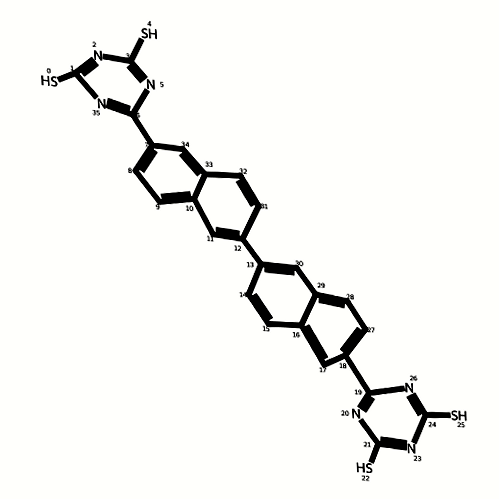 Sc1nc(S)nc(-c2ccc3cc(-c4ccc5cc(-c6nc(S)nc(S)n6)ccc5c4)ccc3c2)n1